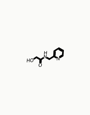 O=C(CO)NCc1ccccn1